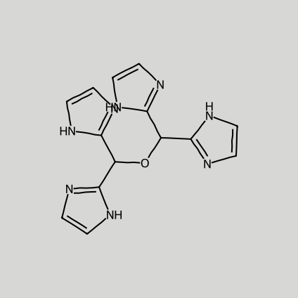 c1c[nH]c(C(OC(c2ncc[nH]2)c2ncc[nH]2)c2ncc[nH]2)n1